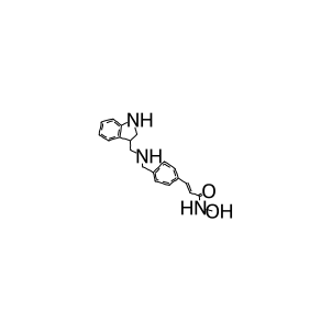 O=C(/C=C/c1ccc(CNCC2CNc3ccccc32)cc1)NO